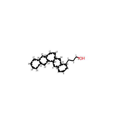 OCCCc1cccc2cc3c(ccc4cc5ccccc5cc43)cc12